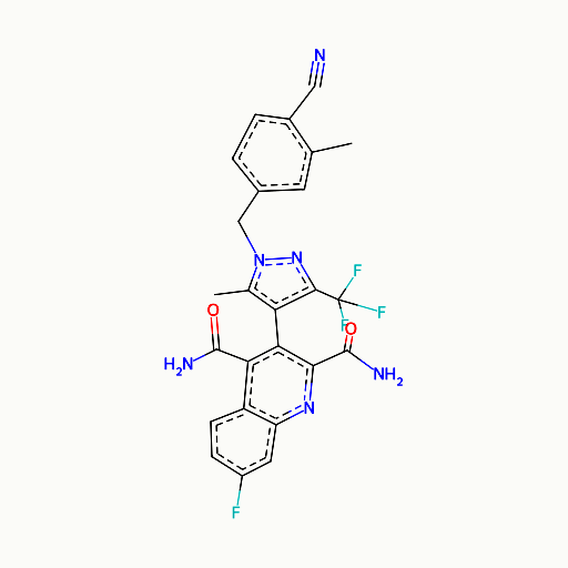 Cc1cc(Cn2nc(C(F)(F)F)c(-c3c(C(N)=O)nc4cc(F)ccc4c3C(N)=O)c2C)ccc1C#N